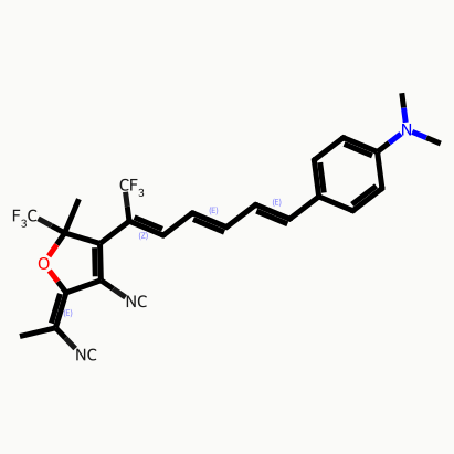 [C-]#[N+]C1=C(C(=C/C=C/C=C/c2ccc(N(C)C)cc2)/C(F)(F)F)C(C)(C(F)(F)F)O/C1=C(\C)[N+]#[C-]